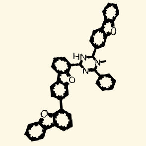 CN1C(c2ccccc2)=NC(c2cccc3c2oc2cc(-c4cccc5c4oc4ccccc45)ccc23)NC1c1ccc2c(c1)oc1ccccc12